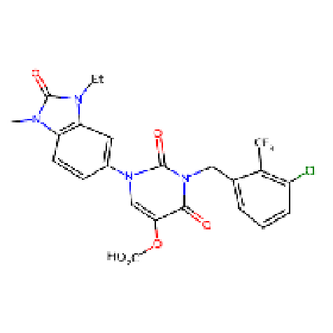 CCn1c(=O)n(C)c2ccc(-n3cc(OC(=O)O)c(=O)n(Cc4cccc(Cl)c4C(F)(F)F)c3=O)cc21